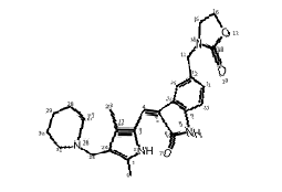 Cc1[nH]c(/C=C2\C(=O)Nc3ccc(CN4CCOC4=O)cc32)c(C)c1CN1CCCCC1